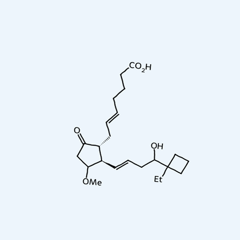 CCC1(C(O)CC=C[C@H]2C(OC)CC(=O)[C@@H]2CC=CCCCC(=O)O)CCC1